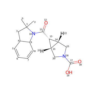 CC1(C)CC2C=CC=CC2N1C(=O)[C@@H]1[C@@H]2CN(C(=O)O)C[C@@H]21